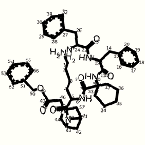 NCCCCC(NC(=O)C1(NC(=O)C(Cc2ccccc2)NC(=O)C(N)Cc2ccccc2)CCCCC1)C(=O)N1C2CC1CN(CC(=O)OCc1ccccc1)C2